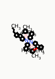 CCCCc1ccc2c(c1)Cc1c-2ccc2c1B(c1c(C)cc(C)cc1C)c1c3c(cc4ccccc14)N1c4ccc5c(c4B(c4c(C)cc(C)cc4C)c4c1c(cc1ccccc41)N23)C(C)(C)c1ccccc1-5